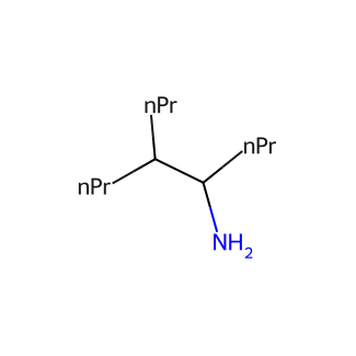 CCCC(N)C(CCC)CCC